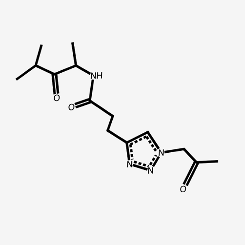 CC(=O)Cn1cc(CCC(=O)NC(C)C(=O)C(C)C)nn1